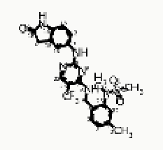 Cc1ccc(CNc2nc(Nc3ccc4c(c3)CC(=O)N4)ncc2C(F)(F)F)c(N(C)S(C)(=O)=O)c1